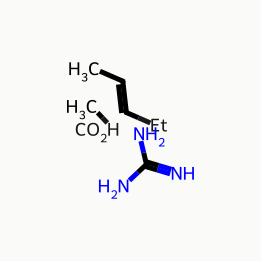 CC(=O)O.CC=CCC.N=C(N)N